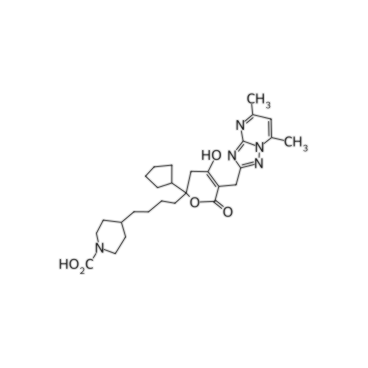 Cc1cc(C)n2nc(CC3=C(O)CC(CCCCC4CCN(C(=O)O)CC4)(C4CCCC4)OC3=O)nc2n1